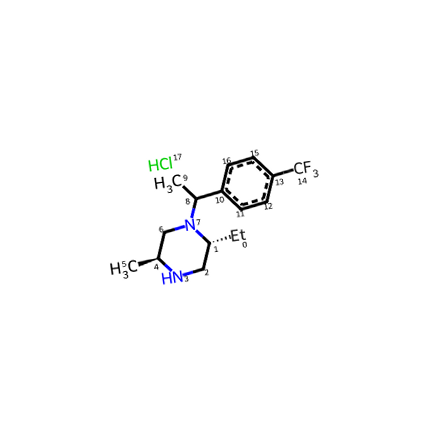 CC[C@@H]1CN[C@@H](C)CN1C(C)c1ccc(C(F)(F)F)cc1.Cl